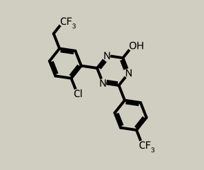 Oc1nc(-c2ccc(C(F)(F)F)cc2)nc(-c2cc(CC(F)(F)F)ccc2Cl)n1